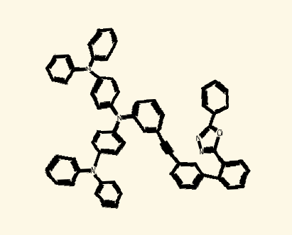 C(#Cc1cccc(N(c2ccc(N(c3ccccc3)c3ccccc3)cc2)c2ccc(N(c3ccccc3)c3ccccc3)cc2)c1)c1cccc(-c2ccccc2-c2nnc(-c3ccccc3)o2)c1